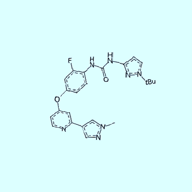 Cn1cc(-c2cc(Oc3ccc(NC(=O)Nc4ccn(C(C)(C)C)n4)c(F)c3)ccn2)cn1